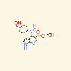 CCOC(=O)c1cnc2[nH]ccc2c1N(C)C1CCC(CO)CC1